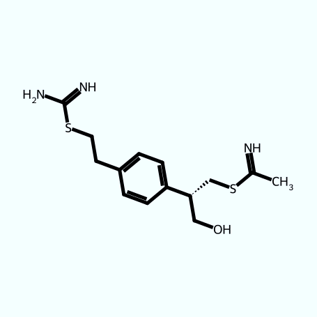 CC(=N)SC[C@H](CO)c1ccc(CCSC(=N)N)cc1